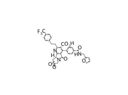 O=C(NCc1ccco1)c1ccc(-c2c(C(=O)O)c(CCc3ccc(C(F)(F)F)cc3)nc3c2C(=O)N2CS(=O)(=O)C[C@@H]32)cc1